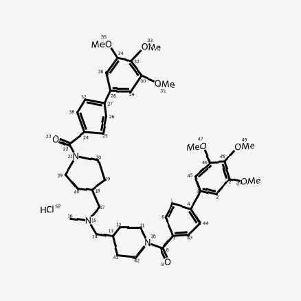 COc1cc(-c2ccc(C(=O)N3CCC(CN(C)CC4CCN(C(=O)c5ccc(-c6cc(OC)c(OC)c(OC)c6)cc5)CC4)CC3)cc2)cc(OC)c1OC.Cl